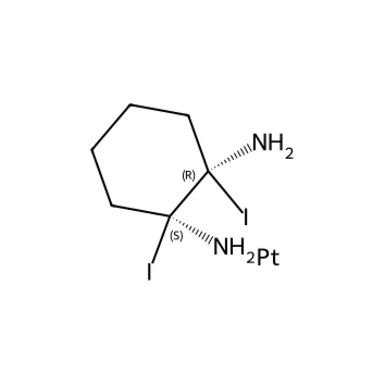 N[C@]1(I)CCCC[C@@]1(N)I.[Pt]